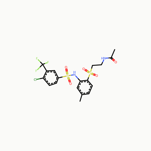 CC(=O)NCCS(=O)(=O)c1ccc(C)cc1NS(=O)(=O)c1ccc(Cl)c(C(F)(F)F)c1